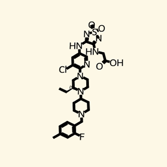 CC[C@H]1CN(c2ncc(NC3=NS(=O)(=O)N=C3NCC(=O)O)cc2Cl)CCN1C1CCN(Cc2ccc(C)cc2F)CC1